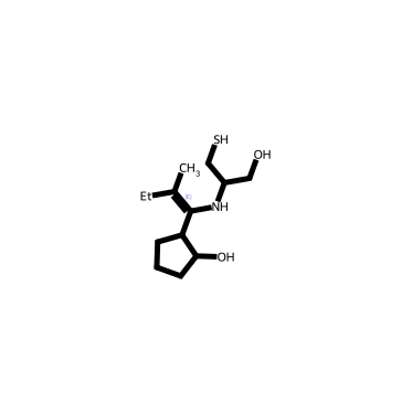 CC/C(C)=C(/NC(CO)CS)C1CCCC1O